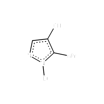 CCCc1c(C)[c]nn1CC